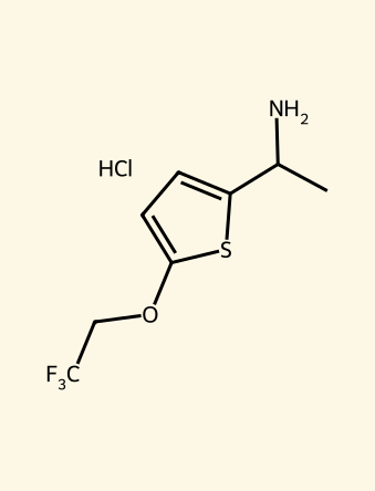 CC(N)c1ccc(OCC(F)(F)F)s1.Cl